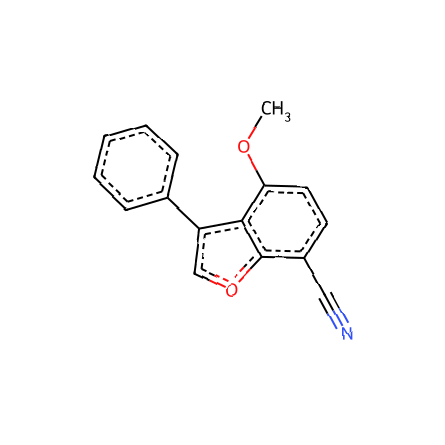 COc1ccc(C#N)c2occ(-c3ccccc3)c12